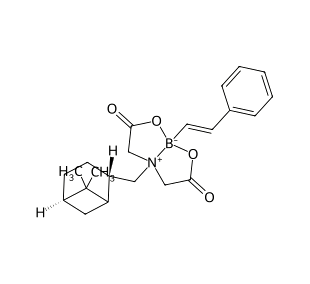 CC1(C)C2C[C@H]1CC[C@@H]2C[N+]12CC(=O)O[B-]1(/C=C/c1ccccc1)OC(=O)C2